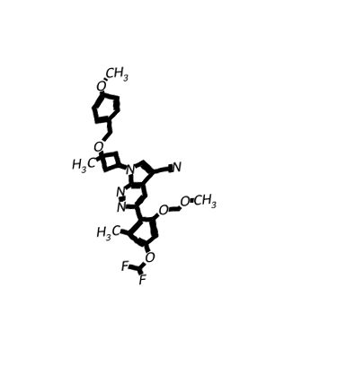 COCOc1cc(OC(F)F)cc(C)c1-c1cc2c(C#N)cn(C3CC(C)(OCc4ccc(OC)cc4)C3)c2nn1